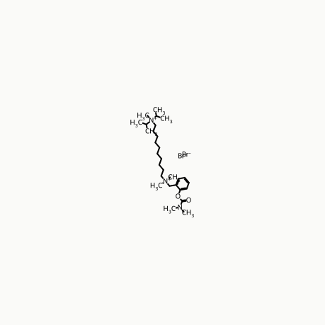 CC(C)[N+](C)(CCCCCCCCCC[N+](C)(C)Cc1ccccc1OC(=O)N(C)C)C(C)C.[Br-].[Br-]